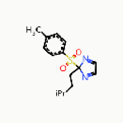 Cc1ccc(S(=O)(=O)C2(CCC(C)C)N=CC=N2)cc1